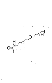 O=C(I)NCCOCCOCCNCI